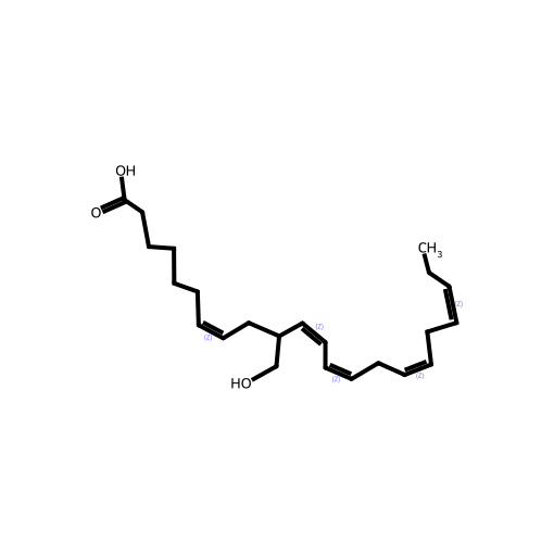 CC/C=C\C/C=C\C/C=C\C=C/C(CO)C/C=C\CCCCCC(=O)O